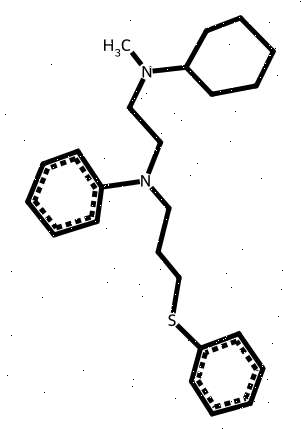 CN(CCN(CCCSc1ccccc1)c1ccccc1)C1CCCCC1